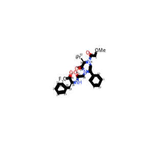 COCC(=O)N1C=C(c2ccccc2)N(CC(=O)N[C@@H](Cc2ccccc2)C(=O)C(F)(F)F)C(=O)[C@H]1C(C)C